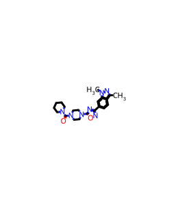 Cc1nn(C)c2cc(-c3noc(N4CCN(C(=O)N5CCCCC5)CC4)n3)ccc12